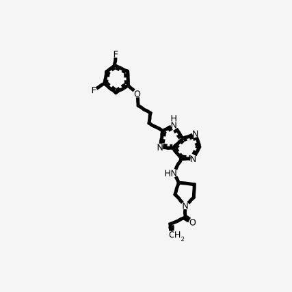 C=CC(=O)N1CCC(Nc2ncnc3[nH]c(CCCOc4cc(F)cc(F)c4)nc23)C1